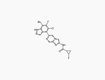 CCC(C)c1c(F)c(Cl)c(-c2cn3cc(NC(=O)C4CC4F)nc3cn2)c2cn[nH]c12